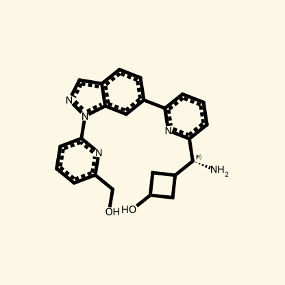 N[C@@H](c1cccc(-c2ccc3cnn(-c4cccc(CO)n4)c3c2)n1)C1CC(O)C1